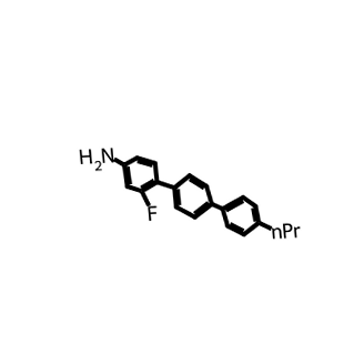 CCCc1ccc(-c2ccc(-c3ccc(N)cc3F)cc2)cc1